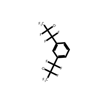 [O]C(F)(C(F)(F)F)C(F)(F)c1cccc(C(F)(F)C([O])(F)C(F)(F)F)c1